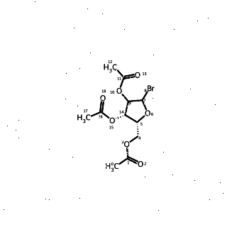 CC(=O)OC[C@H]1OC(Br)C(OC(C)=O)[C@H]1OC(C)=O